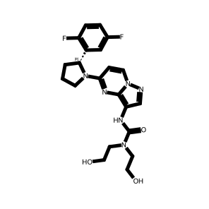 O=C(Nc1cnn2ccc(N3CCC[C@@H]3c3cc(F)ccc3F)nc12)N(CCO)CCO